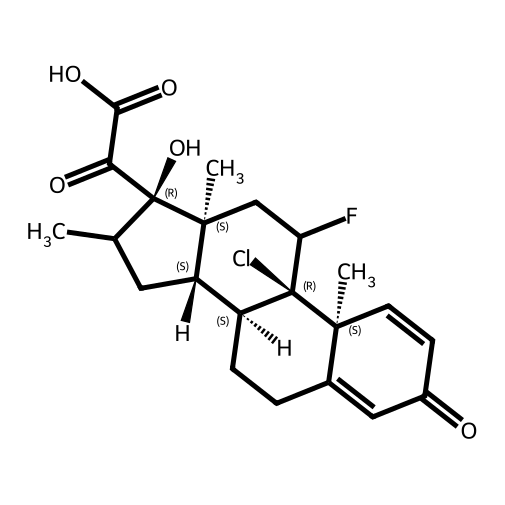 CC1C[C@H]2[C@@H]3CCC4=CC(=O)C=C[C@]4(C)[C@@]3(Cl)C(F)C[C@]2(C)[C@@]1(O)C(=O)C(=O)O